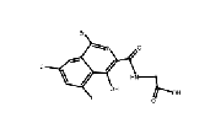 O=C(O)CNC(=O)c1nc(Br)c2cc(Cl)cc(I)c2c1O